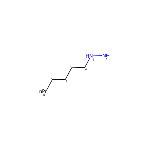 CCCCCCCN[NH]